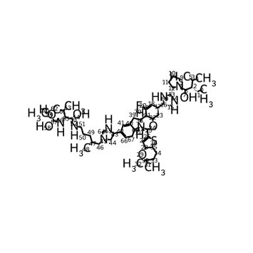 CC[C@@H](C(C)C)C(O)N1CCC[C@H]1C1NC[C@H]([C@@H]2C=C(F)[C@H]3C(C2)OC(C2=CC4OC(C)(C)CCC4S2)N2C3CC3=CC(C4CN(C[C@@H](C)CCCN[C@H](O)[C@@H](NC(O)OC)C(C)C)CN4)=CC[C@@H]32)N1